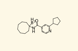 BC1(NC(=O)c2ccnc(C3CCCC3)c2)CCCCCCC1